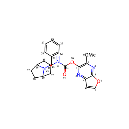 COc1nc2occc2nc1OC(=O)NC1CC2CCC(C1)N2Cc1ccccc1